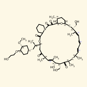 CO[C@@H]1C[C@H](C[C@@H](C)[C@@H]2CC(=O)[C@H](C)/C=C(\C)[C@@H](O)[C@@H](CO)C(=O)[C@H](C)C[C@H](C)/C=C/C=C/C=C(\C)[C@@H](CO)C[C@@H]3CC[C@@H](C)[C@@](O)(O3)C(=O)C(=O)N3CCCCC3C(=O)O2)CC[C@H]1OCCO